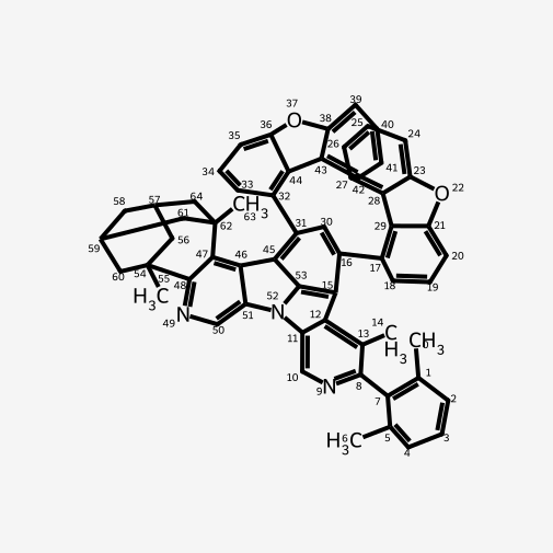 Cc1cccc(C)c1-c1ncc2c(c1C)c1c(-c3cccc4oc5ccccc5c34)cc(-c3cccc4oc5ccccc5c34)c3c4c5c(ncc4n2c13)C1(C)CC2CC(C1)CC5(C)C2